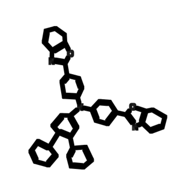 C1=Cc2nc(-c3ccc(N(c4ccc(-c5nc6c(o5)CCC=C6)cc4)c4ccc(-c5ccccc5)c(-c5ccccc5)c4)cc3)oc2CC1